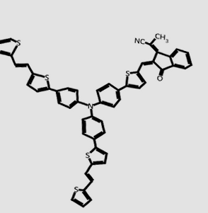 C/C(C#N)=C1/C(=C/c2ccc(-c3ccc(N(c4ccc(-c5ccc(/C=C/c6cccs6)s5)cc4)c4ccc(-c5ccc(/C=C/c6cccs6)s5)cc4)cc3)s2)C(=O)c2ccccc21